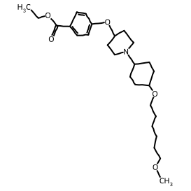 CCOC(=O)c1ccc(OC2CCN(C3CCC(OCCCCCCOC)CC3)CC2)cc1